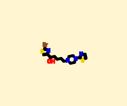 OC(CCCCN1CCN(c2nccs2)CC1)c1csc(Br)n1